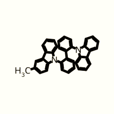 Cc1ccc2c(c1)c1ccccc1n2-c1ccccc1-c1ccccc1-n1c2ccccc2c2ccccc21